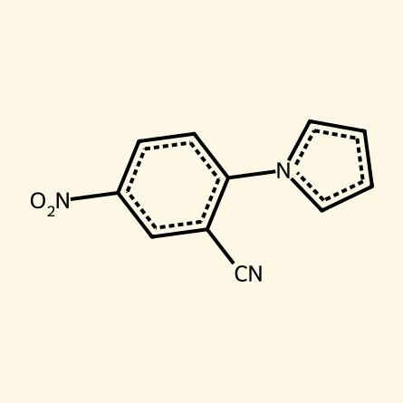 N#Cc1cc([N+](=O)[O-])ccc1-n1cccc1